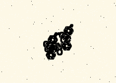 CCc1ccc(S(=O)(=O)Oc2ccccc2NC(=O)Nc2ccccc2OS(=O)(=O)c2ccc(C)cc2)cc1